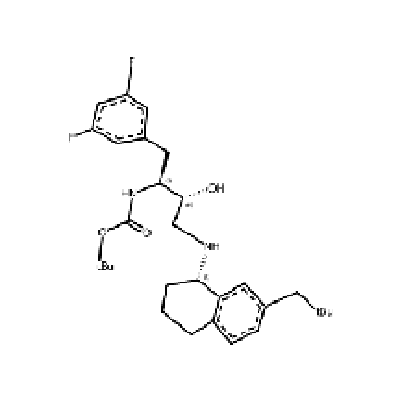 CC(C)(C)Cc1ccc2c(c1)[C@@H](NC[C@@H](O)[C@H](Cc1cc(F)cc(F)c1)NC(=O)OC(C)(C)C)CCC2